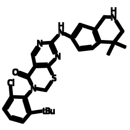 CC(C)(C)c1cccc(Cl)c1N1CSc2nc(Nc3ccc4c(c3)CNCC4(C)C)ncc2C1=O